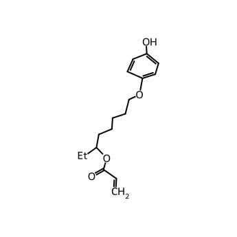 C=CC(=O)OC(CC)CCCCCOc1ccc(O)cc1